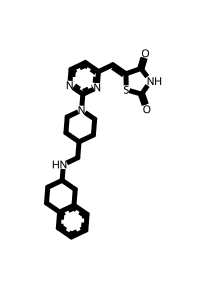 O=C1NC(=O)C(=Cc2ccnc(N3CCC(CNC4CCc5ccccc5C4)CC3)n2)S1